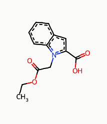 CCOC(=O)Cn1c(C(=O)O)cc2ccccc21